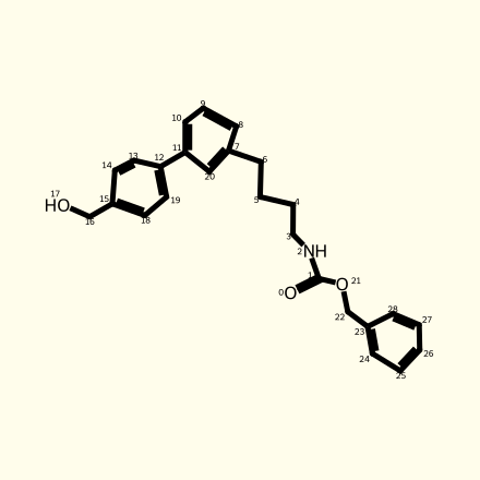 O=C(NCCCCc1cccc(-c2ccc(CO)cc2)c1)OCc1ccccc1